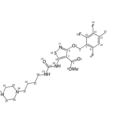 COC(=O)c1c(OCc2c(F)cc(C)c(F)c2F)nsc1NC(=O)NCCCCN1CCN(C)CC1